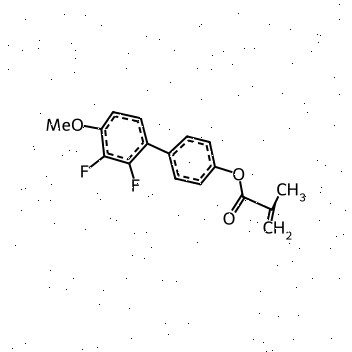 C=C(C)C(=O)Oc1ccc(-c2ccc(OC)c(F)c2F)cc1